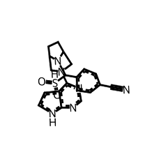 N#Cc1ccc(C(N2C3CCC2CN(c2ncnc4[nH]ccc24)C3)[SH](=O)=O)cc1